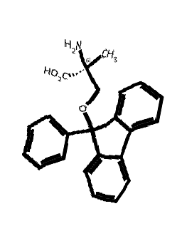 C[C@](N)(COC1(c2ccccc2)c2ccccc2-c2ccccc21)C(=O)O